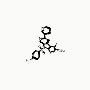 COc1cnc2c(c1I)c1cc(-c3cccnc3)ncc1n2S(=O)(=O)c1ccc(C)cc1